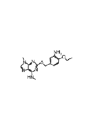 CCOc1ccc(CSc2nc(NC)c3ncn(C)c3n2)cc1N